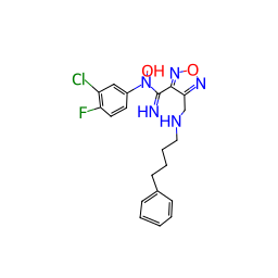 N=C(c1nonc1CNCCCCc1ccccc1)N(O)c1ccc(F)c(Cl)c1